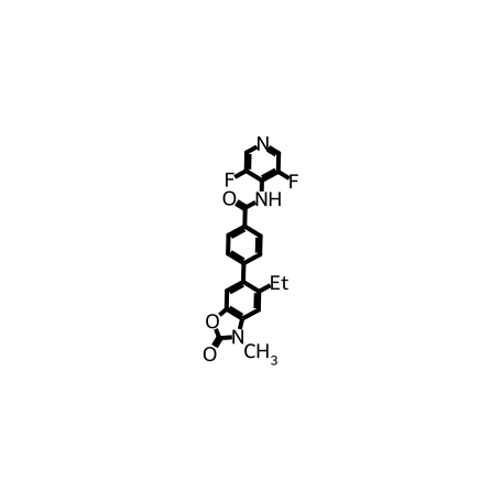 CCc1cc2c(cc1-c1ccc(C(=O)Nc3c(F)cncc3F)cc1)oc(=O)n2C